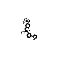 O=S(=O)(F)c1ccc2nc(-c3cccc(-c4cccs4)c3)c(Cl)cc2c1